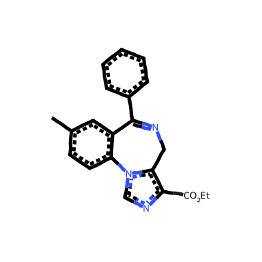 CCOC(=O)c1ncn2c1CN=C(c1ccccc1)c1cc(C)ccc1-2